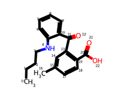 CCCCNc1ccccc1C(=O)c1cc(C)ccc1C(=O)O